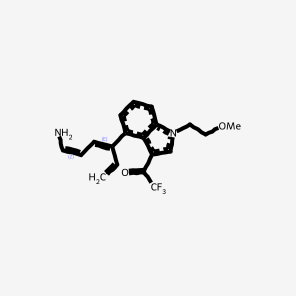 C=C/C(=C\C=C/N)c1cccc2c1c(C(=O)C(F)(F)F)cn2CCOC